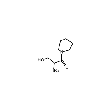 CC(C)(C)C(CO)C(=O)N1CCCCC1